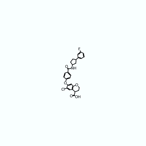 O=C(NC1CCC(c2cccc(F)c2)C1)c1ccc(Oc2cc3c(cc2Cl)C(C(=O)O)CCO3)cc1